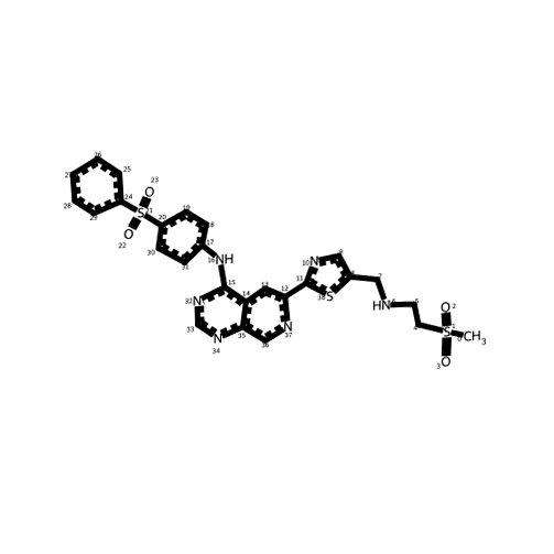 CS(=O)(=O)CCNCc1cnc(-c2cc3c(Nc4ccc(S(=O)(=O)c5ccccc5)cc4)ncnc3cn2)s1